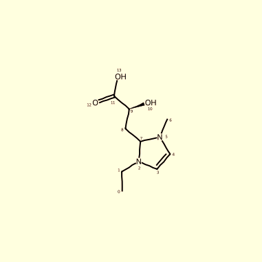 CCN1C=CN(C)C1C[C@H](O)C(=O)O